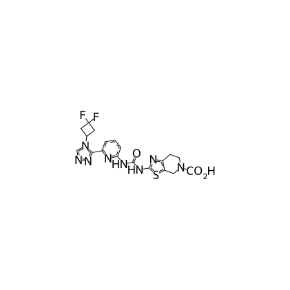 O=C(Nc1cccc(-c2nncn2C2CC(F)(F)C2)n1)Nc1nc2c(s1)CN(C(=O)O)CC2